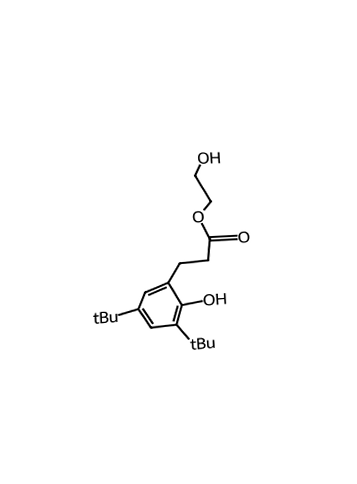 CC(C)(C)c1cc(CCC(=O)OCCO)c(O)c(C(C)(C)C)c1